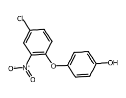 O=[N+]([O-])c1cc(Cl)ccc1Oc1ccc(O)cc1